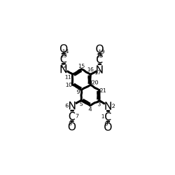 O=C=Nc1cc(N=C=O)c2cc(N=C=O)cc(N=C=O)c2c1